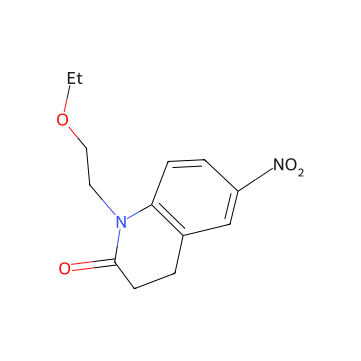 CCOCCN1C(=O)CCc2cc([N+](=O)[O-])ccc21